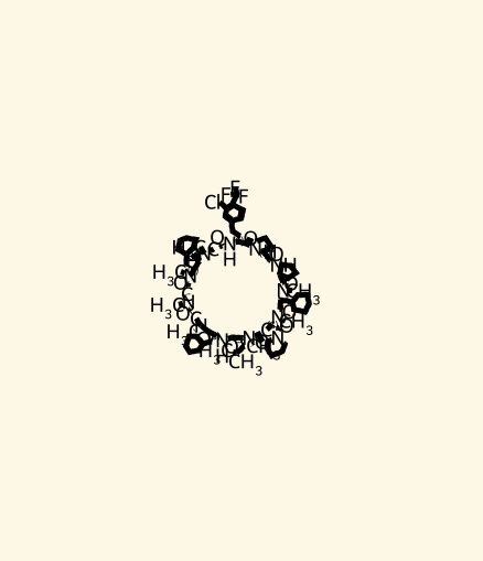 CC(C)C[C@H]1C(=O)N[C@@H](CC2CCCCC2)C(=O)N(C)CC(=O)N(C)CC(=O)N(C)[C@@H](CC2CCCCC2)C(=O)N(C)CC(=O)N[C@@H](CCc2ccc(C(F)(F)F)c(Cl)c2)C(=O)N2CCC[C@H]2C(=O)NC2(CCCC2)C(=O)N(C)C(C2CCCCC2)C(=O)N(C)[C@H](C(=O)N2CCCCC2)CC(=O)N1C